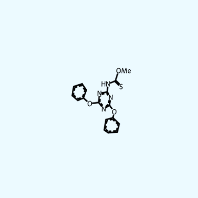 COC(=S)Nc1nc(Oc2ccccc2)nc(Oc2ccccc2)n1